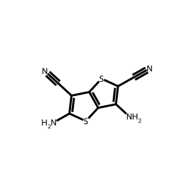 N#Cc1sc2c(C#N)c(N)sc2c1N